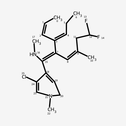 C\C=C/C(=C\CC)C(/C=C(/C)CC(F)F)=C(\NC)C1=CCN(C)C=C1Cl